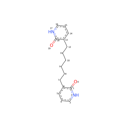 O=c1[nH]cccc1CCCCCCc1ccc[nH]c1=O